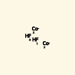 F.F.[Co].[Co]